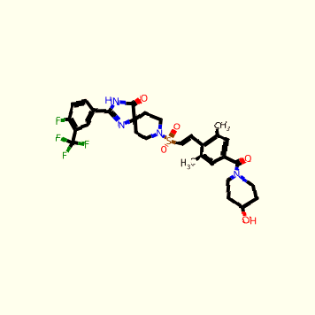 Cc1cc(C(=O)N2CCC(O)CC2)cc(C)c1C=CS(=O)(=O)N1CCC2(CC1)N=C(c1ccc(F)c(C(F)(F)F)c1)NC2=O